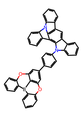 c1ccc2c(c1)Oc1cc(-c3ccc(-n4c5ccccc5c5cc6c7ccccc7n7c8ccccc8c(c54)c67)cc3)cc3c1B2c1ccccc1O3